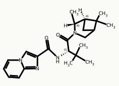 C[C@@H]1[C@@H]2CC(CN1C(=O)[C@@H](NC(=O)c1cn3ccccc3n1)C(C)(C)C)C2(C)C